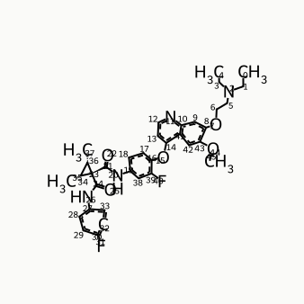 CCN(CC)CCOc1cc2nccc(Oc3ccc(NC(=O)[C@@]4(C(=O)Nc5ccc(F)cc5)[C@H](C)[C@@H]4C)cc3F)c2cc1OC